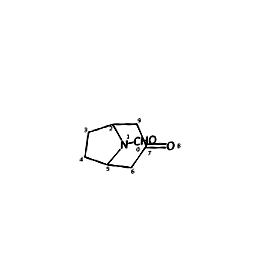 O=CN1C2CCC1CC(=O)C2